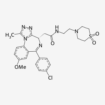 COc1ccc2c(c1)C(c1ccc(Cl)cc1)=N[C@@H](CC(=O)NCCN1CCS(=O)(=O)CC1)c1nnc(C)n1-2